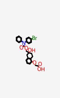 O=C(O)COc1cccc2c1CC[C@](O)(COC(=O)N(c1ccccc1)c1ccc(Br)cc1)C2